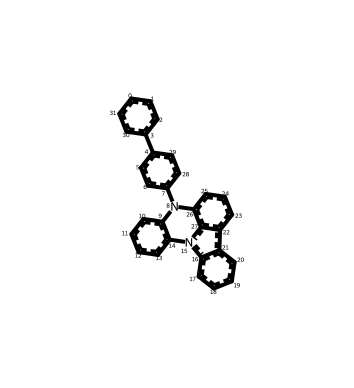 c1ccc(-c2ccc(N3c4ccccc4-n4c5ccccc5c5cccc3c54)cc2)cc1